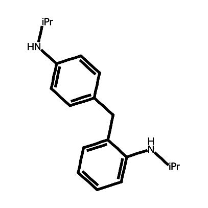 CC(C)Nc1ccc(Cc2ccccc2NC(C)C)cc1